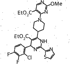 CCOC(=O)C1=C(C2CCN(c3nc(OC)ncc3C(=O)OCC)CC2)NC(c2nccs2)=NC1c1ccc(F)c(F)c1Cl